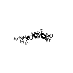 CCn1c(=O)sc2c(F)c(Oc3cnc(OCC(C)NC(C)=O)cn3)ccc21